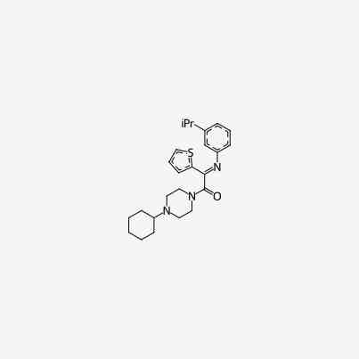 CC(C)c1cccc(N=C(C(=O)N2CCN(C3CCCCC3)CC2)c2cccs2)c1